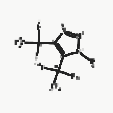 CC(C)n1nnc(C(F)(F)C(F)(F)F)c1C(F)(F)C(F)(F)F